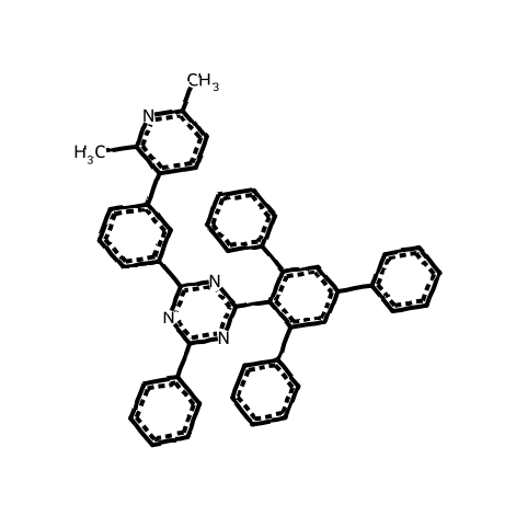 Cc1ccc(-c2cccc(-c3nc(-c4ccccc4)nc(-c4c(-c5ccccc5)cc(-c5ccccc5)cc4-c4ccccc4)n3)c2)c(C)n1